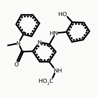 CN(C(=O)c1cc(NC(=O)O)cc(Nc2ccccc2O)n1)c1ccccc1